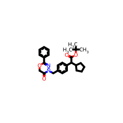 CC(C)(C)OC(=O)C(c1ccc(CN2N=C(c3ccccc3)OCC2=O)cc1)C1CCCC1